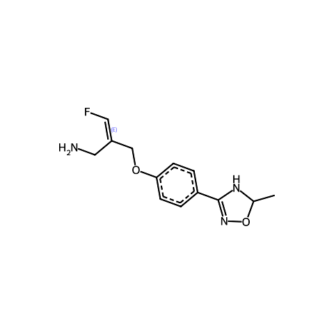 CC1NC(c2ccc(OC/C(=C/F)CN)cc2)=NO1